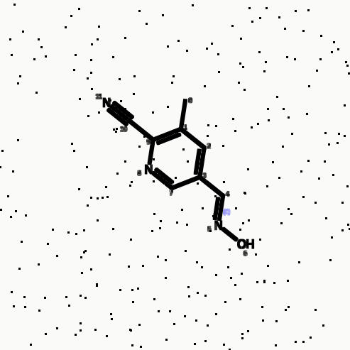 Cc1cc(/C=N/O)cnc1C#N